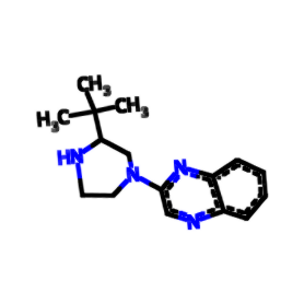 CC(C)(C)C1CN(c2cnc3ccccc3n2)CCN1